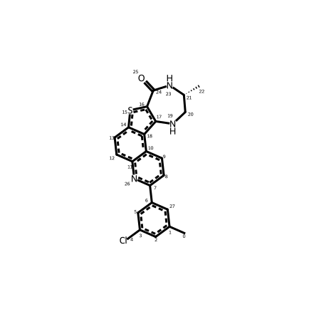 Cc1cc(Cl)cc(-c2ccc3c(ccc4sc5c(c43)NC[C@@H](C)NC5=O)n2)c1